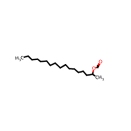 CCCCCCCCCCCCCCCC(C)O[C]=O